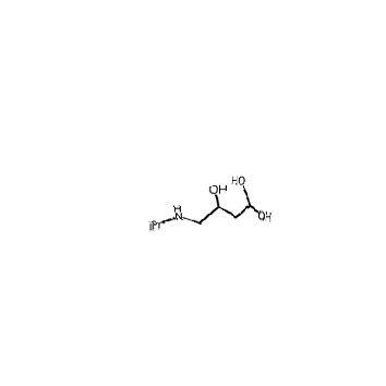 CC(C)NCC(O)CC(O)O